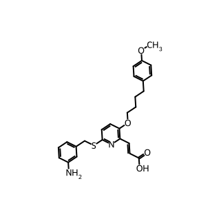 COc1ccc(CCCCOc2ccc(SCc3cccc(N)c3)nc2C=CC(=O)O)cc1